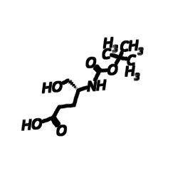 CC(C)(C)OC(=O)N[C@@H](CO)CCC(=O)O